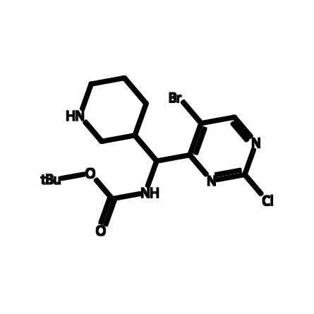 CC(C)(C)OC(=O)NC(c1nc(Cl)ncc1Br)C1CCCNC1